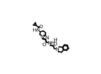 O=C(NC[C@H](O)CN1CCc2ccccc2C1)c1cn2c(n1)CCC(NC(=O)C1CC1)C2